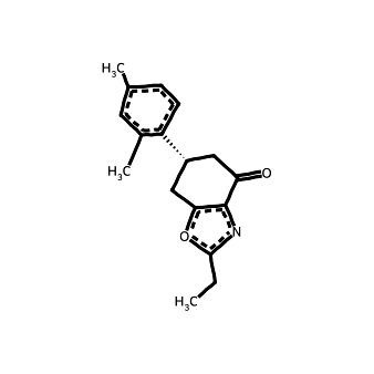 CCc1nc2c(o1)C[C@H](c1ccc(C)cc1C)CC2=O